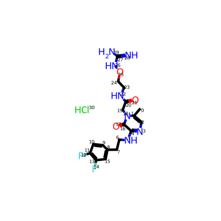 Cc1cnc(NCCc2ccc(F)c(F)c2)c(=O)n1CC(=O)NCCONC(=N)N.Cl